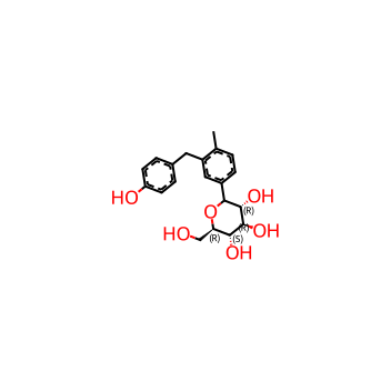 Cc1ccc(C2O[C@H](CO)[C@@H](O)[C@H](O)[C@H]2O)cc1Cc1ccc(O)cc1